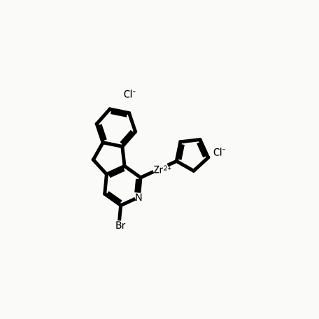 Brc1cc2c([c]([Zr+2][C]3=CC=CC3)n1)-c1ccccc1C2.[Cl-].[Cl-]